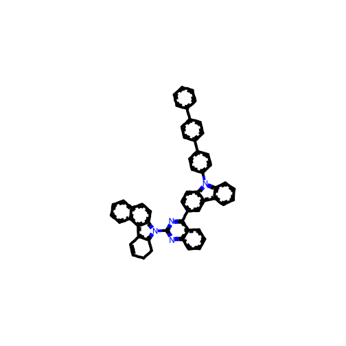 C1=Cc2c(n(-c3nc(-c4ccc5c(c4)c4ccccc4n5-c4ccc(-c5ccc(-c6ccccc6)cc5)cc4)c4ccccc4n3)c3ccc4ccccc4c23)CC1